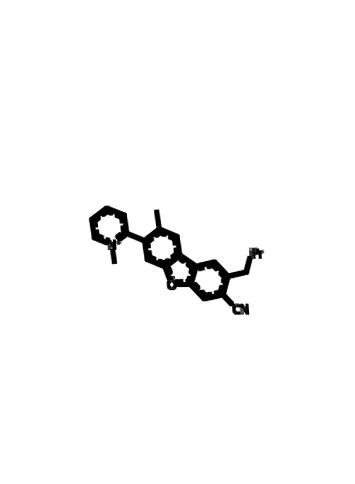 Cc1cc2c(cc1-c1cccc[n+]1C)oc1cc(C#N)c(CC(C)C)cc12